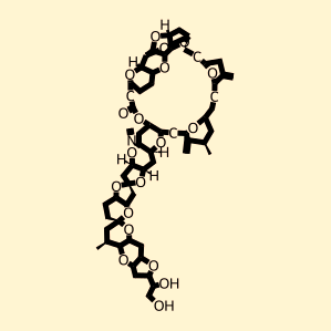 C=NC12CC3OC(=O)CC4CCC5OC6C7O[C@@H]8C[C@](CCC9CC(=C)C(CCC%10C[C@@H](C)C(=C)C(CC3O[C@H]1C[C@H]1O[C@@]3(CC%11O[C@@]%12(CCC%11O3)C[C@H](C)C3OC%11CC(C(O)CO)OC%11CC3O%12)C[C@H]1O2)O%10)O9)(OC7[C@H]5O4)OC68